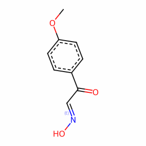 COc1ccc(C(=O)/C=N/O)cc1